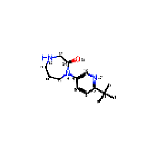 CC(C)(C)c1ccc(N2CCCNCC2=O)cn1